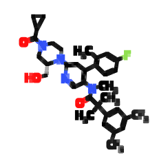 Cc1cc(F)ccc1-c1cc(N2CCN(C(=O)C3CC3)C[C@H]2CO)ncc1N(C)C(=O)C(C)(C)c1cc(C(F)(F)F)cc(C(F)(F)F)c1